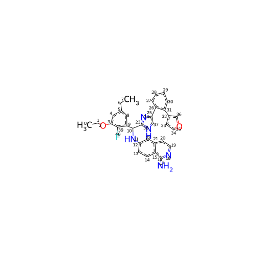 CCOc1cc(CC)cc(C(Nc2ccc3c(N)nccc3c2)c2nc(-c3ccccc3-c3ccoc3)c[nH]2)c1F